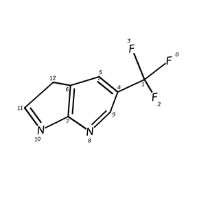 FC(F)(F)c1[c]c2c(nc1)N=CC2